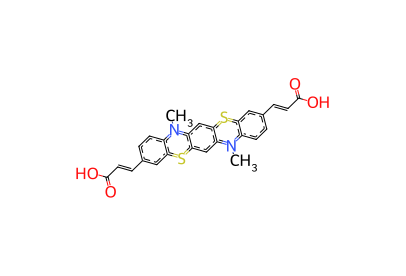 Cn1c2ccc(C=CC(=O)O)cc2sc2cc3c(cc21)sc1cc(C=CC(=O)O)ccc1n3C